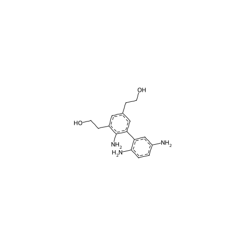 Nc1ccc(N)c(-c2cc(CCO)cc(CCO)c2N)c1